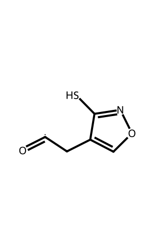 O=[C]Cc1conc1S